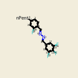 CCCCCc1ccc(C=NN=Cc2cc(F)c(F)c(F)c2)c(F)c1